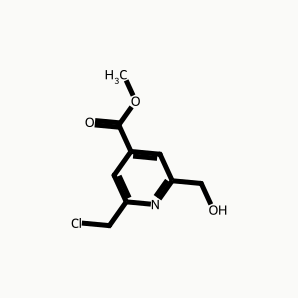 COC(=O)c1cc(CO)nc(CCl)c1